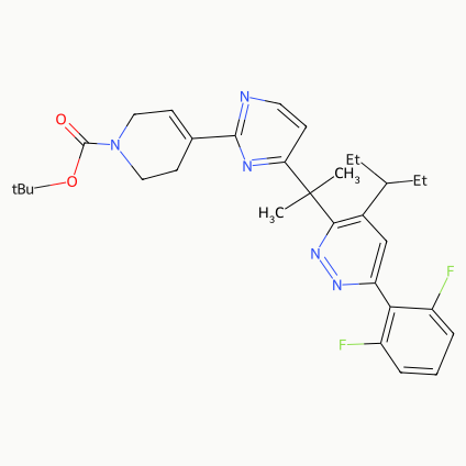 CCC(CC)c1cc(-c2c(F)cccc2F)nnc1C(C)(C)c1ccnc(C2=CCN(C(=O)OC(C)(C)C)CC2)n1